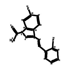 NC(=O)n1nc(C=Cc2ccccc2F)c2c[c]c(F)cc21